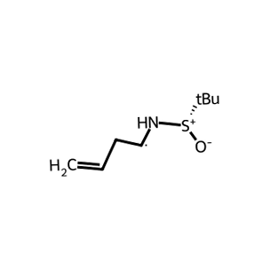 C=CC[CH]N[S@@+]([O-])C(C)(C)C